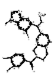 Cc1ccc(C(=O)N2CCc3ccc(C(CC(=O)O)c4cc5ncn(C)c5cc4F)cc3C2)cc1C